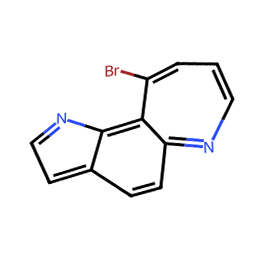 Brc1cccnc2ccc3ccnc3c12